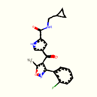 Cc1onc(-c2ccccc2F)c1C(=O)c1c[nH]c(C(=O)NCC2CC2)c1